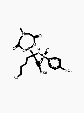 CCCCC#CC(CCCCCl)(NS(=O)(=O)c1ccc([N+](=O)[O-])cc1)B1OC(=O)CN(C)CC(=O)O1